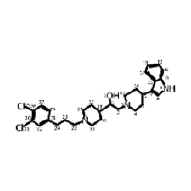 OC(CN1CCC(c2c[nH]c3ccccc23)CC1)C1CCN(CCCc2ccc(Cl)c(Cl)c2)CC1